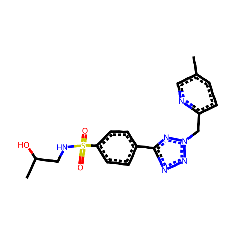 Cc1ccc(Cn2nnc(-c3ccc(S(=O)(=O)NCC(C)O)cc3)n2)nc1